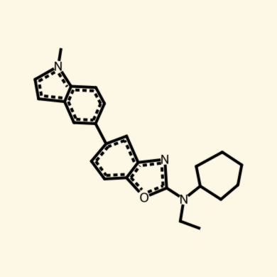 CCN(c1nc2cc(-c3ccc4c(ccn4C)c3)ccc2o1)C1CCCCC1